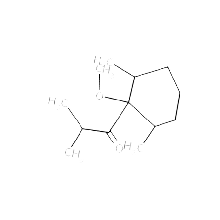 COC1(C(=O)C(C)C)C(C)CCCC1C